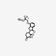 C=C(COc1cccc2c1CN(C1CCC(=O)NC1=O)C2=O)OC(C)(C)C